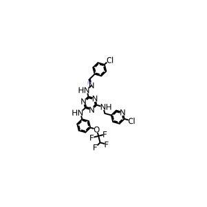 FC(F)C(F)(F)Oc1cccc(Nc2nc(NCc3ccc(Cl)nc3)nc(N/N=C/c3ccc(Cl)cc3)n2)c1